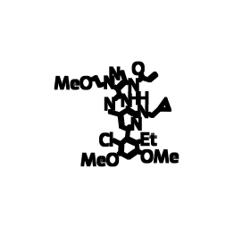 C=CC(=O)Nc1cnn(CCOC)c1-c1ncc2cc(-c3c(Cl)c(OC)cc(OC)c3CC)nc(NCC3CC3)c2n1